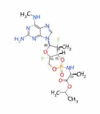 CNc1nc(N)nc2c1ncn2[C@@H]1O[C@]2(F)COP(=O)(N[C@@H](C)C(=O)OC(C)C)O[C@H]2[C@@]1(C)F